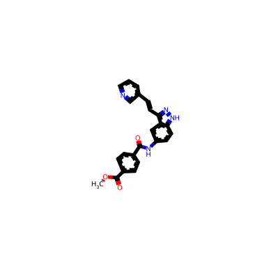 COC(=O)c1ccc(C(=O)Nc2ccc3[nH]nc(/C=C/c4cccnc4)c3c2)cc1